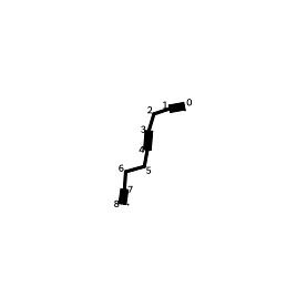 [C]#CCC#CCCC#[C]